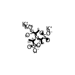 CC(N(C(C)S(=O)(=O)[O-])C(C)S(=O)(=O)[O-])S(=O)[O-].[K+].[K+].[K+]